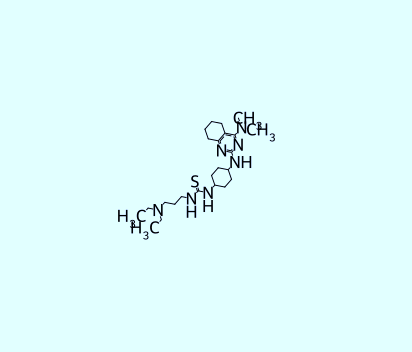 CCN(CC)CCCNC(=S)NC1CCC(Nc2nc3c(c(N(C)C)n2)CCCC3)CC1